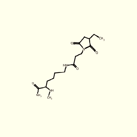 CCC1CC(=O)N(CCC(=O)NCCCCC(NC)C(N)=O)C1=O